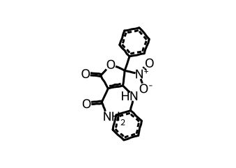 NC(=O)C1=C(Nc2ccccc2)C(c2ccccc2)([N+](=O)[O-])OC1=O